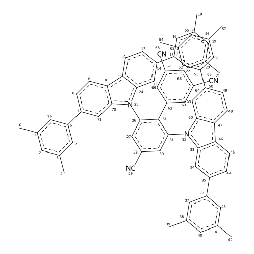 Cc1cc(C)cc(-c2ccc3c4ccc(-c5cc(C)cc(C)c5)cc4n(-c4cc(C#N)cc(-n5c6cc(-c7cc(C)cc(C)c7)ccc6c6ccc(-c7cc(C)cc(C)c7)cc65)c4-c4cc(C#N)cc(C#N)c4)c3c2)c1